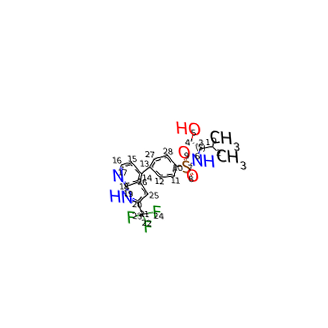 CC(C)[C@@H](CO)NS(=O)(=O)c1ccc(-c2ccnc3[nH]c(C(F)(F)F)cc23)cc1